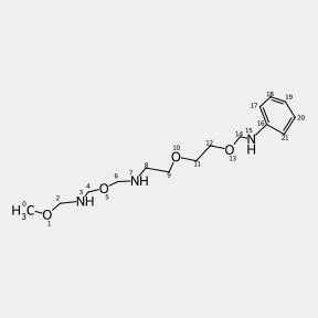 COCNCOCNCCOCCOCNc1ccccc1